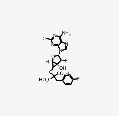 Nc1nc(Cl)nc2c1ncn2[C@@H]1O[C@@H]2C(OC(Cc3ccc(F)cc3)(C(=O)O)C(=O)O)[C@]2(O)[C@@H]1F